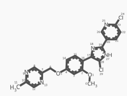 COc1cc(OCc2cnc(C)cn2)ccc1-c1nc(-c2ccc(Cl)nc2)[nH]c1Cl